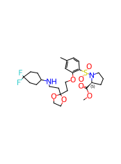 COC(=O)[C@@H]1CCCN1S(=O)(=O)c1ccc(C)cc1OCCC1(CCNC2CCC(F)(F)CC2)OCCO1